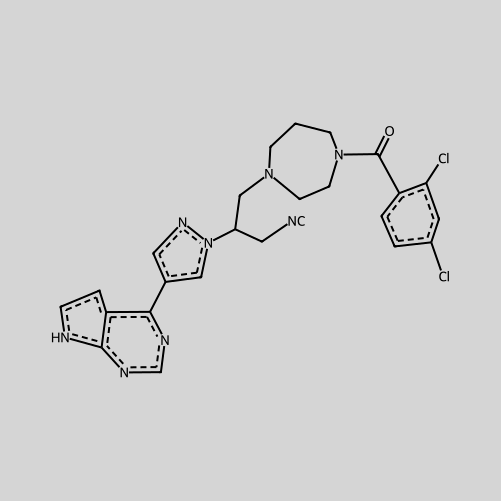 [C-]#[N+]CC(CN1CCCN(C(=O)c2ccc(Cl)cc2Cl)CC1)n1cc(-c2ncnc3[nH]ccc23)cn1